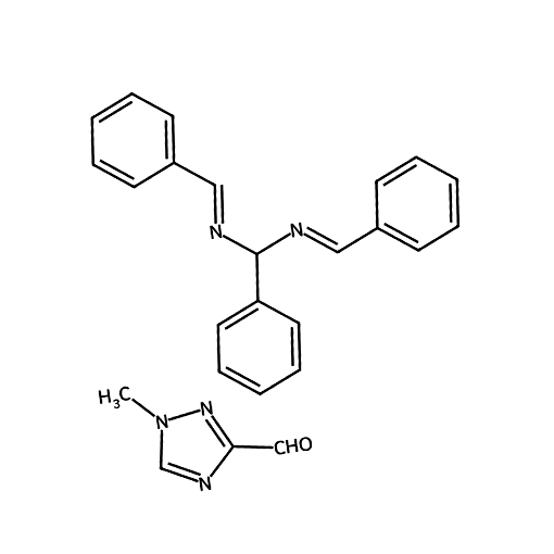 C(=NC(N=Cc1ccccc1)c1ccccc1)c1ccccc1.Cn1cnc(C=O)n1